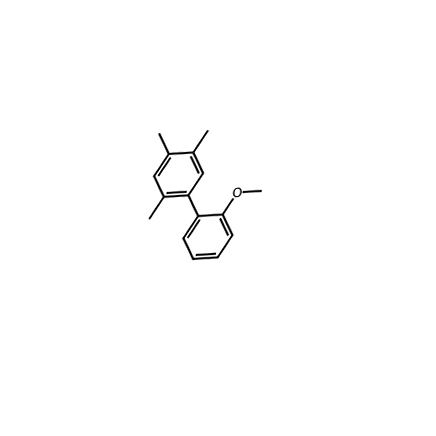 COc1ccccc1-c1cc(C)c(C)cc1C